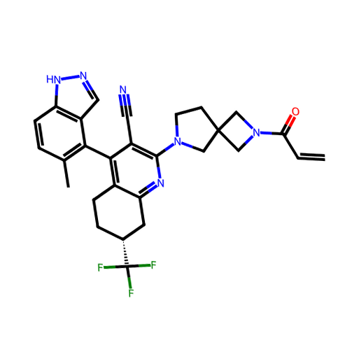 C=CC(=O)N1CC2(CCN(c3nc4c(c(-c5c(C)ccc6[nH]ncc56)c3C#N)CC[C@@H](C(F)(F)F)C4)C2)C1